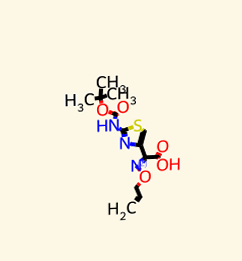 C=CCO/N=C(\C(=O)O)c1csc(NC(=O)OC(C)(C)C)n1